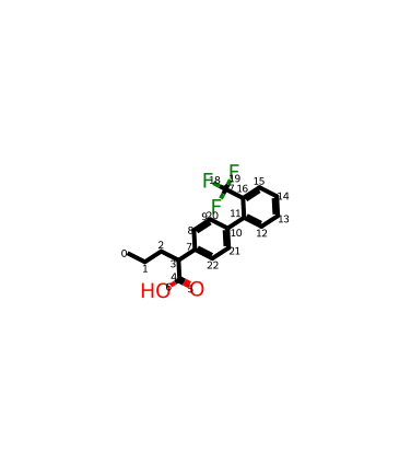 CCCC(C(=O)O)c1ccc(-c2ccccc2C(F)(F)F)cc1